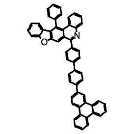 c1ccc(-c2c3c(cc4c(-c5ccc(-c6ccc(-c7ccc8c9ccccc9c9ccccc9c8c7)cc6)cc5)nc5ccccc5c24)oc2ccccc23)cc1